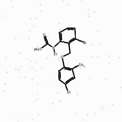 CCc1ccc(OCc2c(Br)cccc2N(CC)C(=O)SC)c(C)c1